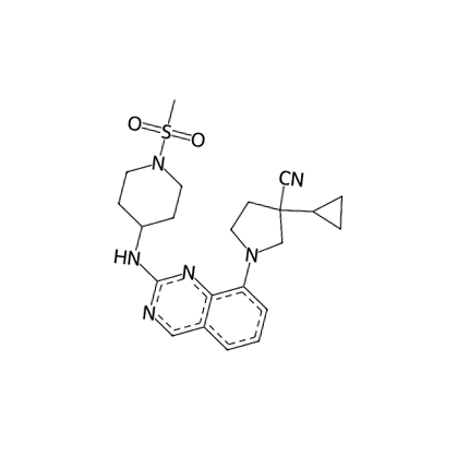 CS(=O)(=O)N1CCC(Nc2ncc3cccc(N4CCC(C#N)(C5CC5)C4)c3n2)CC1